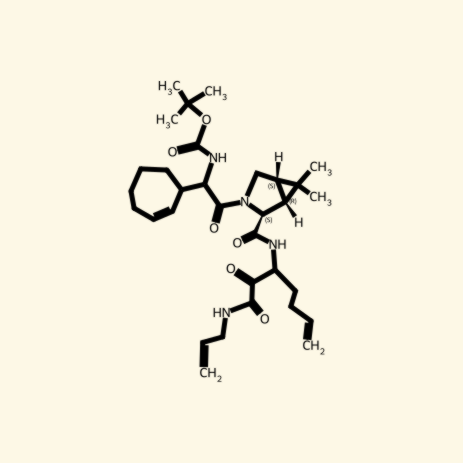 C=CCCC(NC(=O)[C@@H]1[C@@H]2[C@H](CN1C(=O)C(NC(=O)OC(C)(C)C)C1C=CCCCC1)C2(C)C)C(=O)C(=O)NCC=C